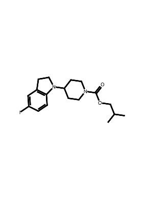 CC(C)COC(=O)N1CCC(N2CCc3cc(I)ccc32)CC1